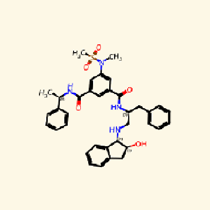 C[C@@H](NC(=O)c1cc(C(=O)N[C@H](CN[C@@H]2c3ccccc3C[C@@H]2O)Cc2ccccc2)cc(N(C)S(C)(=O)=O)c1)c1ccccc1